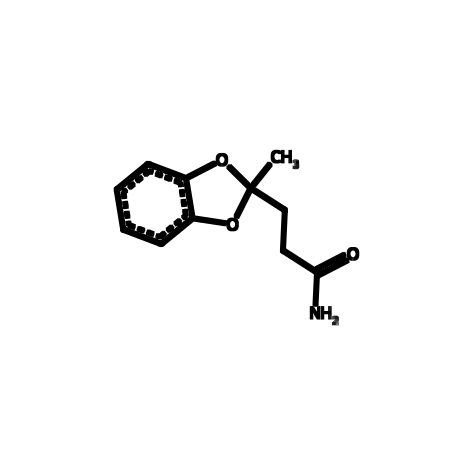 CC1(CCC(N)=O)Oc2ccccc2O1